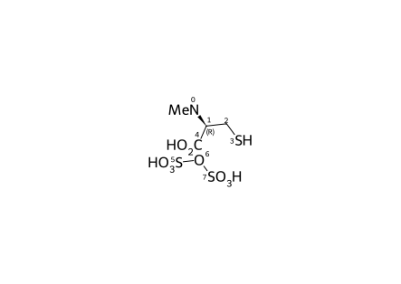 CN[C@@H](CS)C(=O)O.O=S(=O)(O)OS(=O)(=O)O